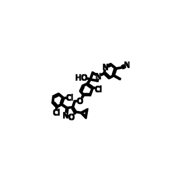 Cc1cc(N2CC(O)(c3ccc(OCc4c(-c5c(Cl)cccc5Cl)noc4C4CC4)cc3Cl)C2)ncc1C#N